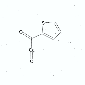 [O]=[Cu][C](=O)c1cccs1